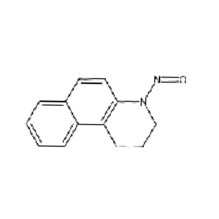 O=NN1CCCc2c1ccc1ccccc21